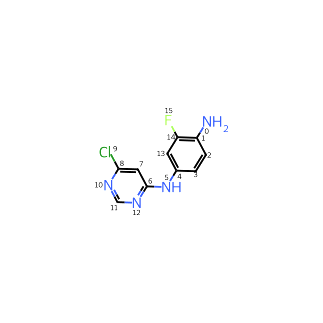 Nc1ccc(Nc2cc(Cl)ncn2)cc1F